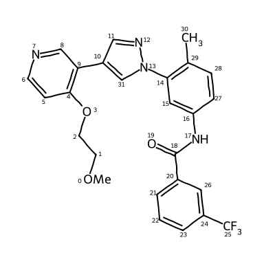 COCCOc1ccncc1-c1cnn(-c2cc(NC(=O)c3cccc(C(F)(F)F)c3)ccc2C)c1